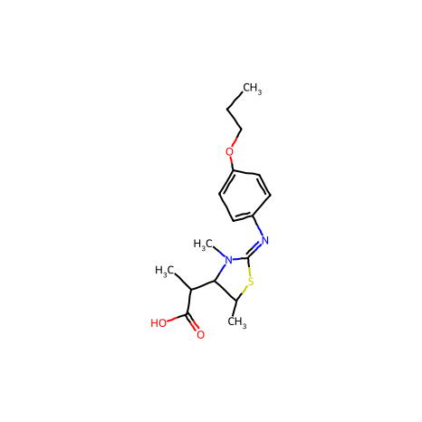 CCCOc1ccc(N=C2SC(C)C(C(C)C(=O)O)N2C)cc1